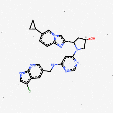 O[C@@H]1CC(c2cn3cc(C4CC4)ccc3n2)N(c2cc(NCc3cnc4[nH]cc(Cl)c4c3)ncn2)C1